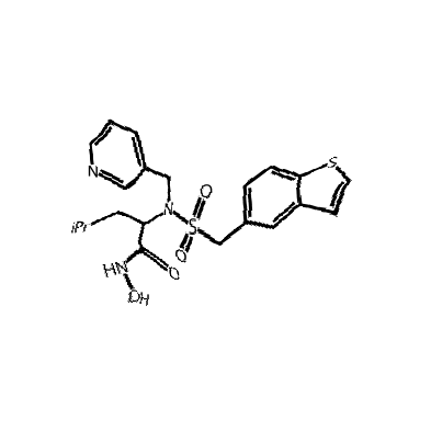 CC(C)CC(C(=O)NO)N(Cc1cccnc1)S(=O)(=O)Cc1ccc2sccc2c1